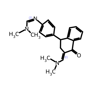 CN(C)/C=N\c1ccc(C2C/C(=C\N(C)C)C(=O)c3ccccc32)cc1